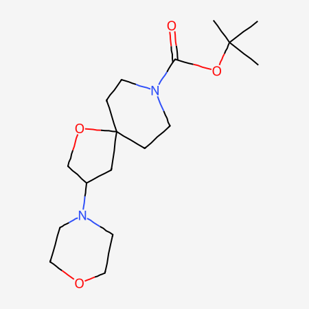 CC(C)(C)OC(=O)N1CCC2(CC1)CC(N1CCOCC1)CO2